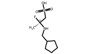 C[C@](F)(CS(=O)(=O)O)NCC1CCCC1